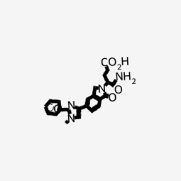 Cn1cc(-c2ccc3c(c2)CN(C(CCC(=O)O)C(N)=O)C3=O)nc1C12CCC(CC1)CC2